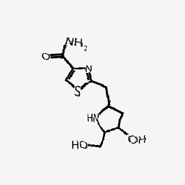 NC(=O)c1csc(CC2CC(O)C(CO)N2)n1